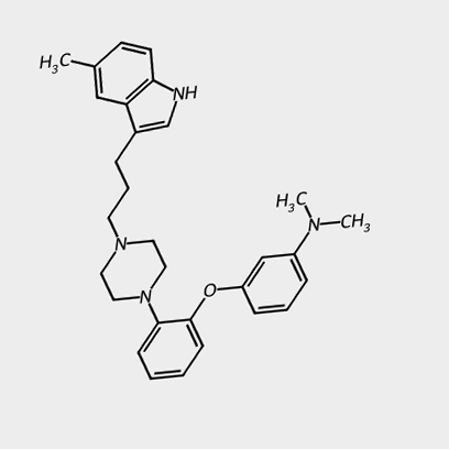 Cc1ccc2[nH]cc(CCCN3CCN(c4ccccc4Oc4cccc(N(C)C)c4)CC3)c2c1